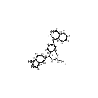 CN1Cc2cc(-c3nncc4ccccc34)ccc2C(c2ccc3[nH]ncc3c2)C1